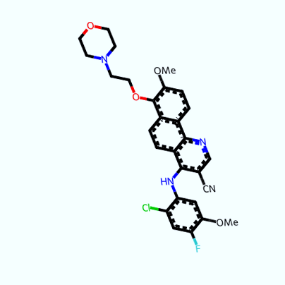 COc1cc(Nc2c(C#N)cnc3c2ccc2c(OCCN4CCOCC4)c(OC)ccc23)c(Cl)cc1F